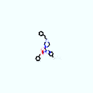 CC(=O)Oc1ccc(C[C@H](NC(=O)OCc2ccccc2)C(=O)N2CCCN(CCCc3ccccc3)CC2)cc1